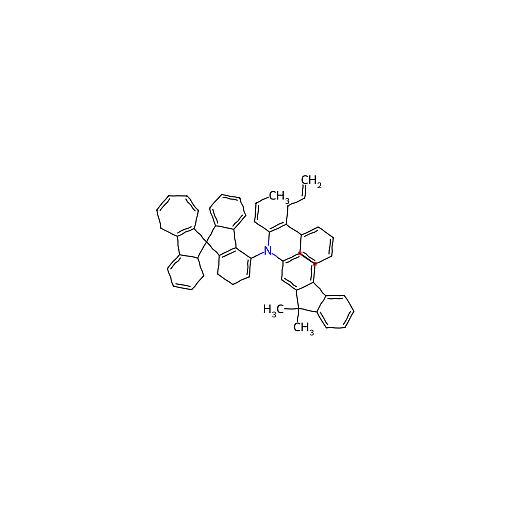 C=CC/C(=C(\C=C/C)N(C1=CCCC2=C1c1ccccc1C21C2=C(CC=CC=C2)C2=CC=CCC21)c1ccc2c(c1)C(C)(C)c1ccccc1-2)c1ccccc1